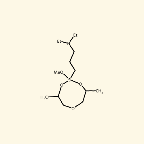 CCN(CC)CCC[Si]1(OC)OC(C)COCC(C)O1